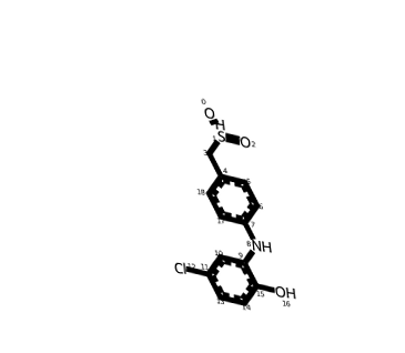 O=[SH](=O)Cc1ccc(Nc2cc(Cl)ccc2O)cc1